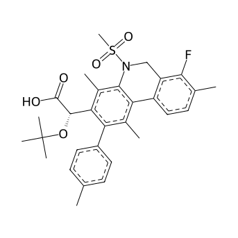 Cc1ccc(-c2c(C)c3c(c(C)c2[C@H](OC(C)(C)C)C(=O)O)N(S(C)(=O)=O)Cc2c-3ccc(C)c2F)cc1